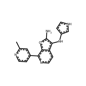 Cc1cc(-c2nccc3c(Nc4cc[nH]c4)c(N)oc23)ccn1